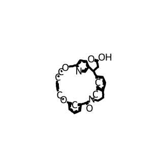 O=C(O)CC1c2ccc(nc2)OCC/C=C\COc2cccc(c2)C(=O)N2CCc3ccc1cc3C2